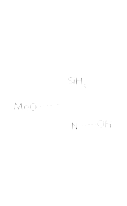 COC([SiH3])=NO